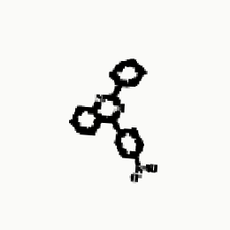 O=[N+]([O-])c1ccc(-c2nc(-c3ccccc3)nc3ccccc23)cc1